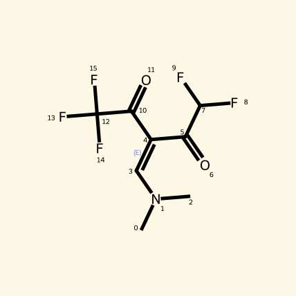 CN(C)/C=C(\C(=O)C(F)F)C(=O)C(F)(F)F